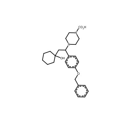 O=C(O)N1CCN(C(CC2(O)CCCCC2)c2ccc(OCc3ccccc3)cc2)CC1